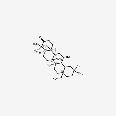 CC1(C)CC[C@]2(CO)CC[C@]3(C)C(C(=O)C[C@@H]4[C@@]5(C)CCC(=O)C(C)(C)[C@@H]5CC[C@]43C)C2C1